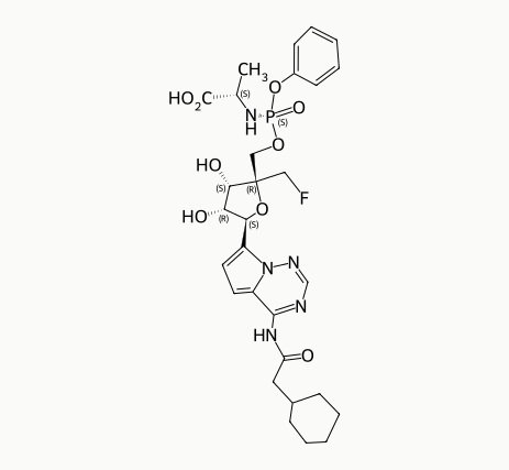 C[C@H](N[P@](=O)(OC[C@@]1(CF)O[C@@H](c2ccc3c(NC(=O)CC4CCCCC4)ncnn23)[C@H](O)[C@@H]1O)Oc1ccccc1)C(=O)O